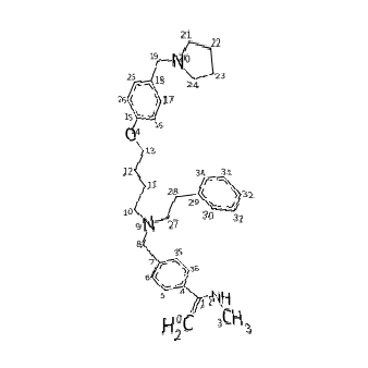 C=C(NC)c1ccc(CN(CCCCOc2ccc(CN3CCCC3)cc2)CCc2ccccc2)cc1